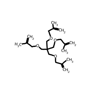 C=C(C)COCC(COCC(=C)C)(COCC(=C)C)COCC(=C)C